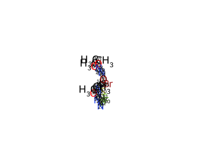 CC(C)(C)OC(=O)N1CCN(CCOc2ccc(N3C(=S)N(c4cnc(C#N)c(C(F)(F)F)c4)C(=O)C3(C)C)cc2Br)CC1